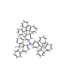 CC1(c2ccccc2)c2ccccc2-c2ccc(N(c3ccc(C4(c5ccccc5)c5ccccc5-c5ccccc54)cc3)c3ccc4c(c3)-c3ccccc3C4(c3ccccc3)c3ccccc3)cc21